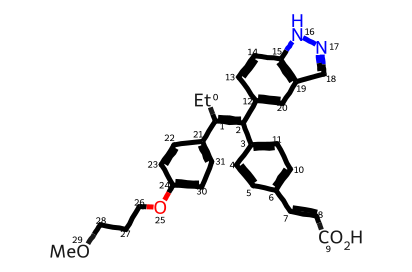 CC/C(=C(/c1ccc(/C=C/C(=O)O)cc1)c1ccc2[nH]ncc2c1)c1ccc(OCCCOC)cc1